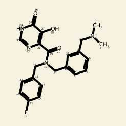 CN(C)Cc1cccc(CN(Cc2ccc(F)cc2)C(=O)c2nc[nH]c(=O)c2O)c1